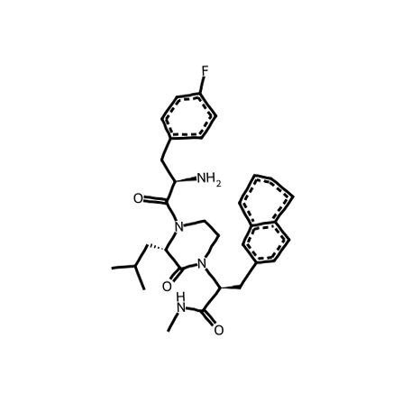 CNC(=O)[C@H](Cc1ccc2ccccc2c1)N1CCN(C(=O)[C@H](N)Cc2ccc(F)cc2)[C@@H](CC(C)C)C1=O